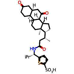 CC(C)[C@H](NC(=O)C[C@@H](C)[C@H]1CC[C@H]2[C@@H]3C(=O)C[C@@H]4CC(=O)CC[C@]4(C)[C@H]3CC[C@]12C)c1ccc(S(=O)(=O)O)s1